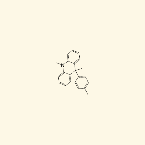 Cc1ccc(C2(C)c3ccccc3N(C)c3ccccc32)cc1